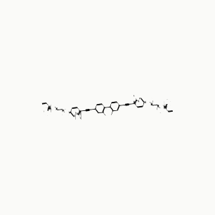 C=CC(=O)OCCOc1ccc(C#Cc2ccc(-c3ccc(C#Cc4ccc(OCCOC(=O)C=C)cn4)cc3C)c(C)c2)nc1